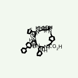 O=C(O)[C@@H]1Cc2ccc(cc2)NC(=O)[C@H](O)[C@@H](O)C(=O)N[C@H](Cc2cccs2)C(=O)N[C@@H](Cc2ccc(-c3ccccc3)cc2)C(=O)N[C@H](Cc2ccccc2)C(=O)N1